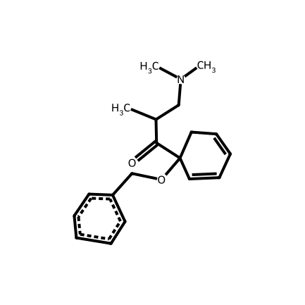 CC(CN(C)C)C(=O)C1(OCc2ccccc2)C=CC=CC1